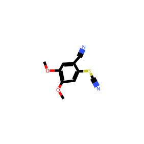 COc1cc(C#N)c(SC#N)cc1OC